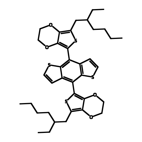 CCCCC(CC)Cc1sc(-c2c3ccsc3c(-c3sc(CC(CC)CCCC)c4c3OCCO4)c3ccsc23)c2c1OCCO2